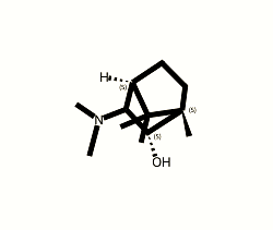 CN(C)C1[C@H]2CC[C@](C)([C@@H]1O)C2(C)C